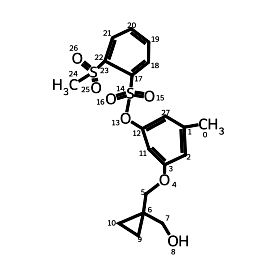 Cc1cc(OCC2(CO)CC2)cc(OS(=O)(=O)c2ccccc2S(C)(=O)=O)c1